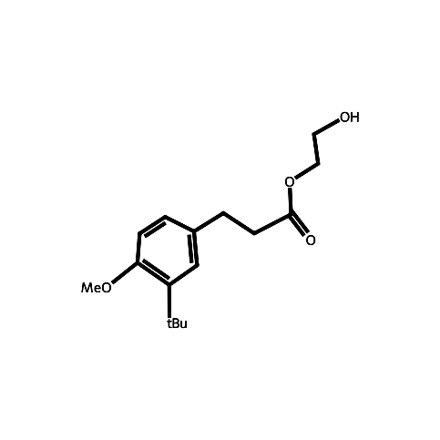 COc1ccc(CCC(=O)OCCO)cc1C(C)(C)C